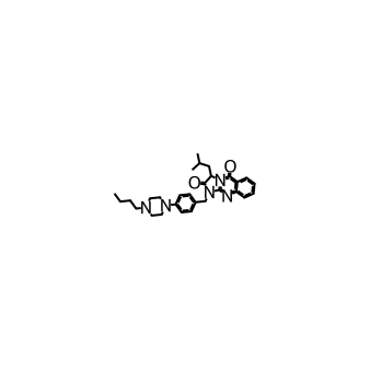 CCCCN1CCN(c2ccc(CN3C(=O)C(CC(C)C)n4c3nc3ccccc3c4=O)cc2)CC1